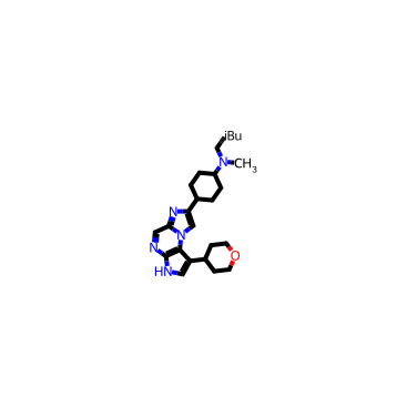 CCC(C)CN(C)C1CCC(c2cn3c(cnc4[nH]cc(C5CCOCC5)c43)n2)CC1